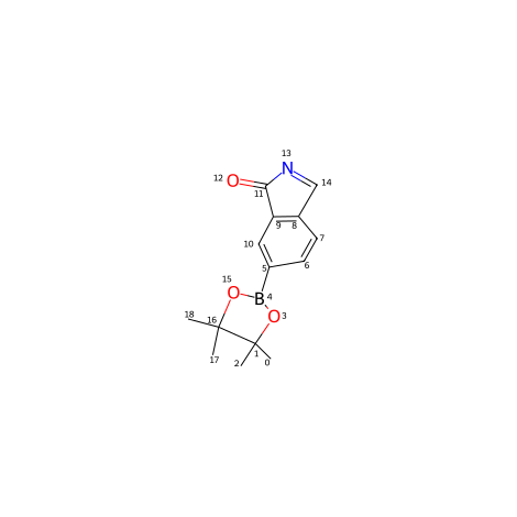 CC1(C)OB(c2ccc3c(c2)C(=O)N=C3)OC1(C)C